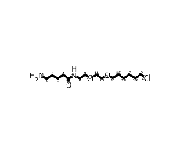 NCCCCC(=O)NCCOCCOCCCCCCCl